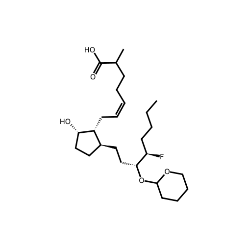 CCCC[C@@H](F)[C@@H](CC[C@H]1CC[C@H](O)[C@@H]1C/C=C\CCC(C)C(=O)O)OC1CCCCO1